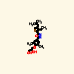 CCc1c(CC(C)C)csc1-c1nnc(-c2cc(C)c(OCC(O)CO)c(C)c2)o1